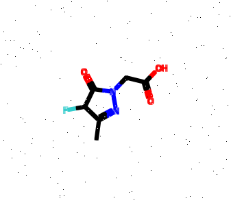 CC1=NN(CC(=O)O)C(=O)C1F